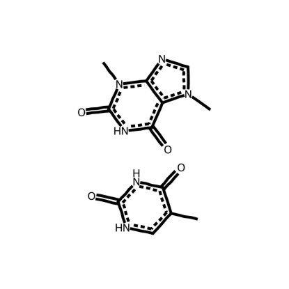 Cc1c[nH]c(=O)[nH]c1=O.Cn1cnc2c1c(=O)[nH]c(=O)n2C